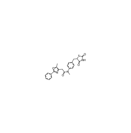 Cc1oc(-c2ccccc2)nc1CC(=O)N(C)c1ccc(CC2SC(=O)NC2=O)cc1